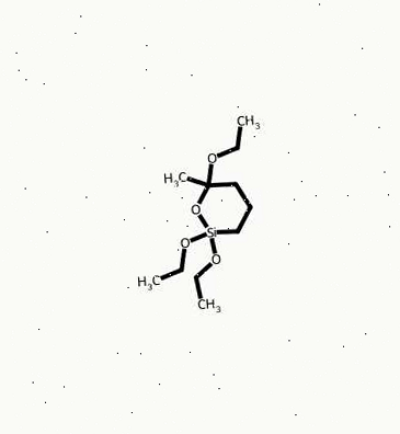 CCOC1(C)CCC[Si](OCC)(OCC)O1